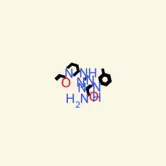 C=CC(=O)N1CCC[C@@H](Nc2nnc(C(N)=O)c(Nc3cccc(C)c3)n2)C1